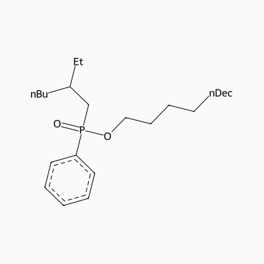 CCCCCCCCCCCCCCOP(=O)(CC(CC)CCCC)c1ccccc1